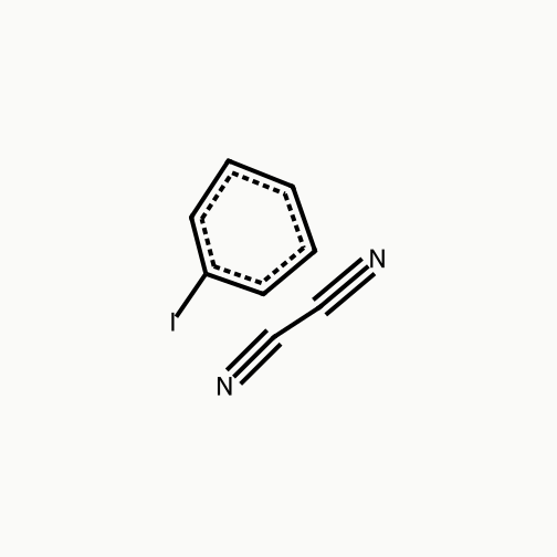 Ic1ccccc1.N#CC#N